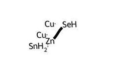 [Cu].[Cu].[SnH2].[Zn][SeH]